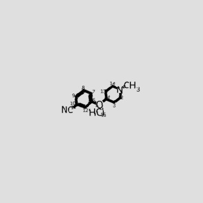 CN1CCC(Oc2cccc(C#N)c2)CC1.Cl